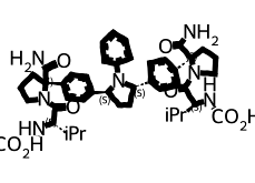 CC(C)[C@H](NC(=O)O)C(=O)N1CCC[C@@]1(C(N)=O)c1ccc([C@@H]2CC[C@@H](c3ccc([C@]4(C(N)=O)CCCN4C(=O)[C@@H](NC(=O)O)C(C)C)cc3)N2c2ccccc2)cc1